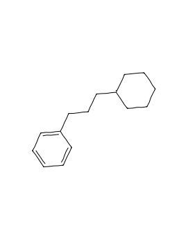 c1ccc(CCC[C]2CCCCC2)cc1